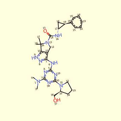 CN(C)c1nc(Nc2n[nH]c3c2CN(C(=O)N[C@@H]2C[C@H]2c2ccccc2)C3(C)C)nc(N2CCC[C@H]2CO)n1